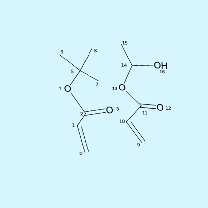 C=CC(=O)OC(C)(C)C.C=CC(=O)OC(C)O